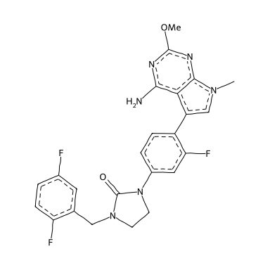 COc1nc(N)c2c(-c3ccc(N4CCN(Cc5cc(F)ccc5F)C4=O)cc3F)cn(C)c2n1